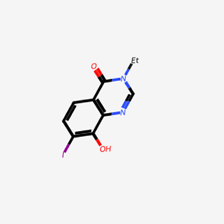 CCn1cnc2c(O)c(I)ccc2c1=O